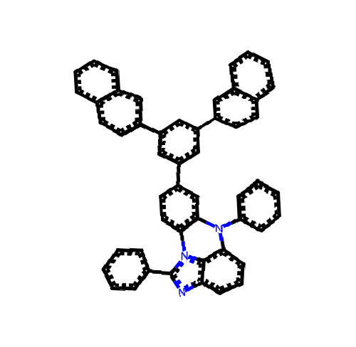 c1ccc(-c2nc3cccc4c3n2-c2ccc(-c3cc(-c5ccc6ccccc6c5)cc(-c5ccc6ccccc6c5)c3)cc2N4c2ccccc2)cc1